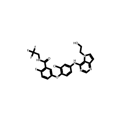 O=C(NCC(F)(F)F)c1cc(Oc2ccc(Nc3ncnc4ccn(CCO)c34)cc2Cl)ccc1F